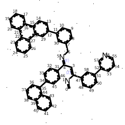 C=N/C(=C\C(=N/Cc1cccc(-c2ccc3c4ccccc4c4ccccc4c3c2)c1)c1ccc(-c2cccc3ccccc23)cc1)c1cccc(-c2cccnc2)c1